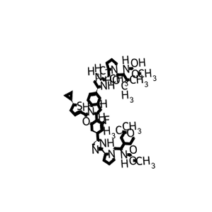 COC(=O)NC(CN1CCC[C@H]1C1=NC[C@H]([C@@H]2C=C(F)[C@H]3C(C2)OC(C2=CC[C@H](C4CC4)S2)N2C3C[C@@H]3CC([C@@H]4CN[C@H](C(C)[C@@]5(C)CCCN5[C@H](O)[C@@H](N[C@H](O)OC)C(C)C)N4)=CC[C@@H]32)N1)C1CCOC(C)(C)C1